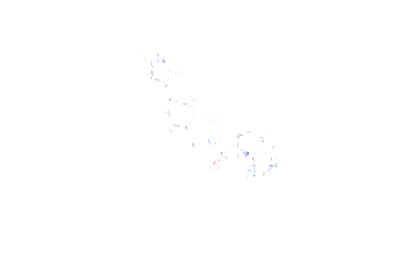 Cn1cc(-c2ccc(CN3Cc4ccc5ncnn5c4C3=O)c(F)c2)cn1